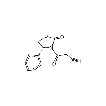 CCCC(C)CC(=O)N1C(=O)OC[C@H]1c1ccccc1